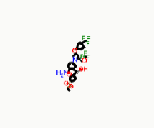 CCS(=O)(=O)c1ccc([C@@H](CO)c2cc(N3C[C@@H](Oc4ccc(C(F)(F)F)cc4)C[C@H]3COC(F)(F)F)ccc2C(N)=O)cc1